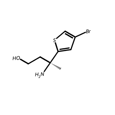 C[C@](N)(CCO)c1cc(Br)cs1